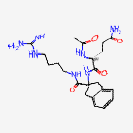 CC(=O)N[C@H](CCC(N)=O)C(=O)NC1(C(=O)NCCCCNC(=N)N)Cc2ccccc2C1